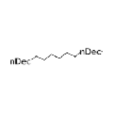 CCCCCCCCC[CH]CCCCCCCCCCCCCCCC